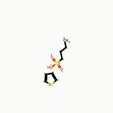 CCCCS(=O)(=O)O.c1ccsc1